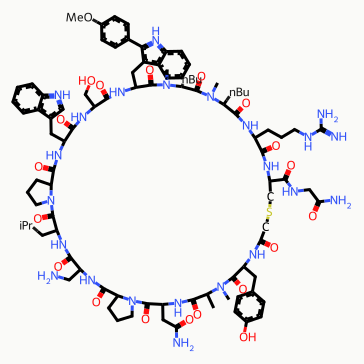 CCCCC1C(=O)N(C)C(CCCC)C(=O)NC(CCCNC(=N)N)C(=O)NC(C(=O)NCC(N)=O)CSCC(=O)NC(Cc2ccc(O)cc2)C(=O)N(C)C(C)C(=O)NC(CC(N)=O)C(=O)N2CCCC2C(=O)NC(CN)C(=O)NC(CC(C)C)C(=O)N2CCCC2C(=O)NC(Cc2c[nH]c3ccccc23)C(=O)NC(CO)C(=O)NC(Cc2c(-c3ccc(OC)cc3)[nH]c3ccccc23)C(=O)N1C